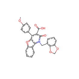 COc1ccc(-c2c(C(=O)O)c(=O)n(Cc3cccc4c3OCO4)c3c2oc2ccccc23)cc1